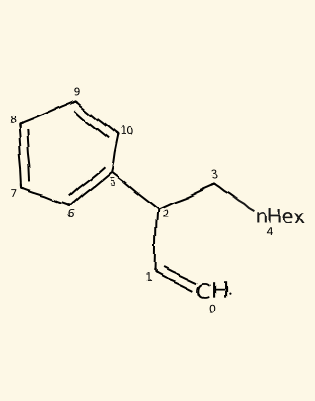 [CH]=CC(CCCCCCC)c1ccccc1